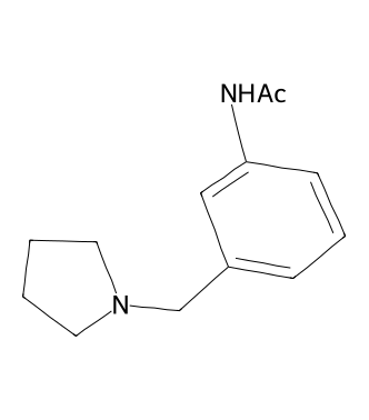 CC(=O)Nc1cccc(CN2CCCC2)c1